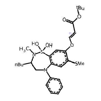 CCCCC1CN(c2ccccc2)c2cc(SC)c(O/C=C/C(=O)OC(C)(C)C)cc2S(O)(O)N1C